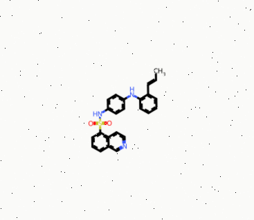 C/C=C/c1ccccc1Nc1ccc(NS(=O)(=O)c2cccc3cnccc23)cc1